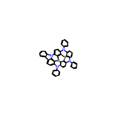 c1ccc(N2c3cccc4c3B3c5c2ccc2c5B5c6c(ccc(c63)N4c3ccccc3)-n3c4ccccc4c4ccc(c5c43)N2c2ccccc2)cc1